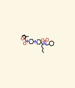 CCCCC1N(CC2CCCCC2)C(=O)OC12CCN(C1CCN(C(=O)c3occc3C)CC1)CC2